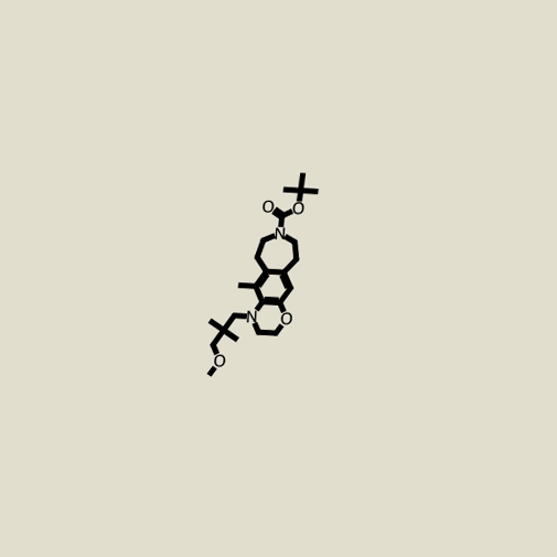 COCC(C)(C)CN1CCOc2cc3c(c(C)c21)CCN(C(=O)OC(C)(C)C)CC3